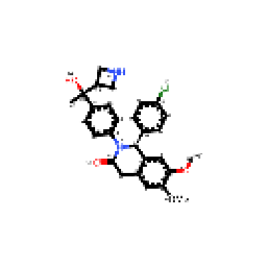 COc1cc2c(cc1OC(C)C)[C@H](c1ccc(Cl)cc1)N(c1ccc(C(C)(O)C3CNC3)cc1)C(=O)C2